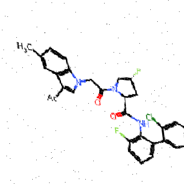 CC(=O)c1cn(CC(=O)N2C[C@H](F)C[C@H]2C(=O)Nc2c(F)cccc2-c2ccccc2Cl)c2ccc(C)cc12